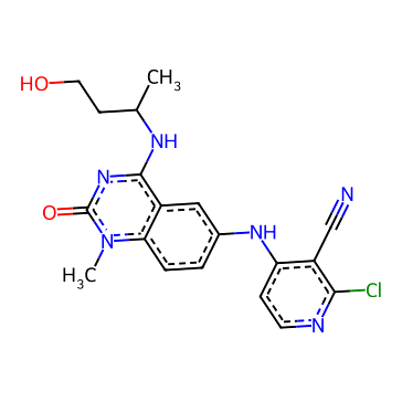 CC(CCO)Nc1nc(=O)n(C)c2ccc(Nc3ccnc(Cl)c3C#N)cc12